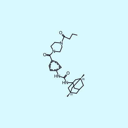 CCCC(=O)N1CCN(C(=O)c2ccc(NC(=O)NC34CC5C[C@@](C)(C3)C[C@](C)(C5)C4)cc2)CC1